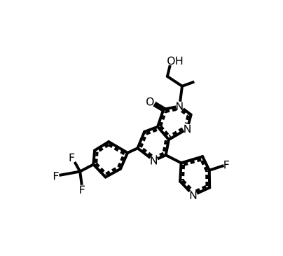 CC(CO)n1cnc2c(-c3cncc(F)c3)nc(-c3ccc(C(F)(F)F)cc3)cc2c1=O